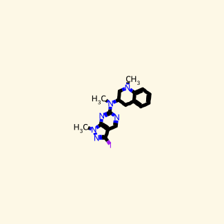 CN1CC(N(C)c2ncc3c(I)nn(C)c3n2)Cc2ccccc21